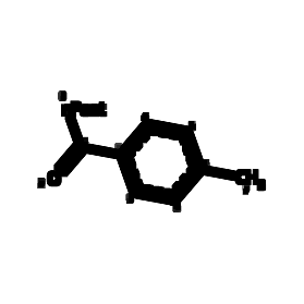 [CH2]CCCCC(=O)c1ccc(C)cc1